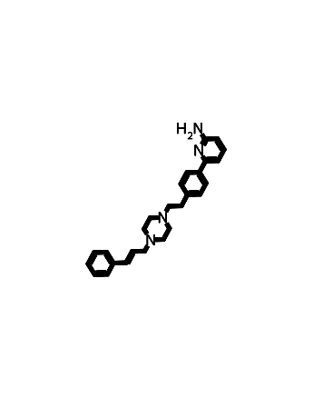 Nc1cccc(-c2ccc(CCN3CCN(CC=Cc4ccccc4)CC3)cc2)n1